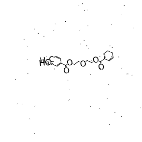 C#C/C=C(\C=C/C)C(=O)OCCOCCOC(=O)C1=CCCC=C1